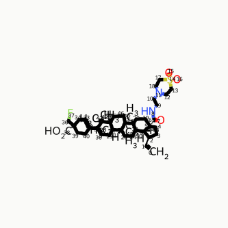 C=C[C@@H]1CC[C@]2(C(=O)NCCN3CCS(=O)(=O)CC3)CC[C@]3(C)[C@H](CC[C@@H]4[C@@]5(C)CC=C(C6=CC[C@@](CF)(C(=O)O)CC6)C(C)(C)[C@@H]5CC[C@]43C)[C@@H]12